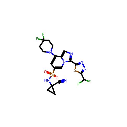 N#CC1(NS(=O)(=O)c2cc(N3CCC(F)(F)CC3)c3cnc(-c4nnc(C(F)F)s4)n3c2)CC1